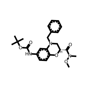 CON(C)C(=O)[C@H]1CN(Cc2ccccc2)c2cc(NC(=O)OC(C)(C)C)ccc2O1